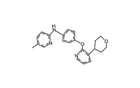 Cc1ccc(Nc2ccc(Oc3ncccc3C3CCOCC3)cc2)nc1